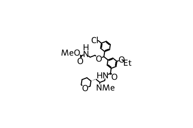 CCOc1cc(C(=O)NC[C@H](C[C@H]2CCCOC2)NC)cc(C(OCCNC(=O)OC)c2cccc(Cl)c2)c1